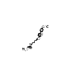 C=CC(=O)OCCCCCCOc1ccc(-c2ccc(C=O)cc2)nc1